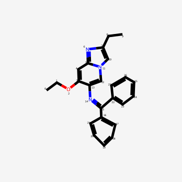 CCOc1cc2nc(CC)cn2cc1N=C(c1ccccc1)c1ccccc1